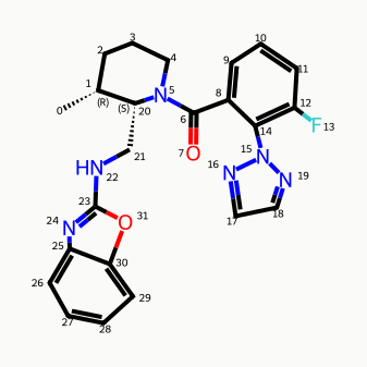 C[C@@H]1CCCN(C(=O)c2cccc(F)c2-n2nccn2)[C@@H]1CNc1nc2ccccc2o1